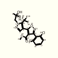 BC(C)(O)Cn1ncc(-c2onc(-c3c(F)cccc3Cl)c2C(=O)OC)c1C(F)(F)F